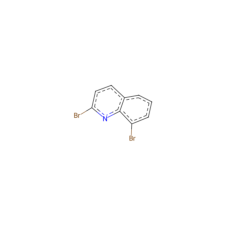 Brc1ccc2cccc(Br)c2n1